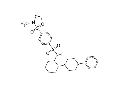 CN(C)S(=O)(=O)c1ccc(S(=O)(=O)NC2CCCCC2N2CCN(c3ccccc3)CC2)cc1